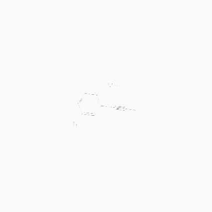 CC#Cc1cc([N+](=O)[O-])ccc1OC